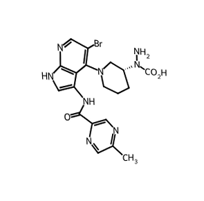 Cc1cnc(C(=O)Nc2c[nH]c3ncc(Br)c(N4CCC[C@@H](N(N)C(=O)O)C4)c23)cn1